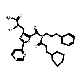 CC(Cc1nc(-c2ccncn2)oc1C(=O)N(CCCc1ccccc1)C(=O)[CH]CC1CCCCC1)C(N)=O